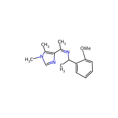 COc1ccccc1C(C)N=C(C)c1ncn(C)c1C